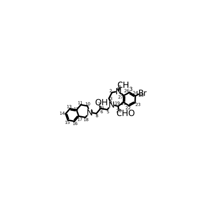 CN1CCN(C[C@H](O)CN2CCc3ccccc3C2)C(C=O)c2ccc(Br)cc21